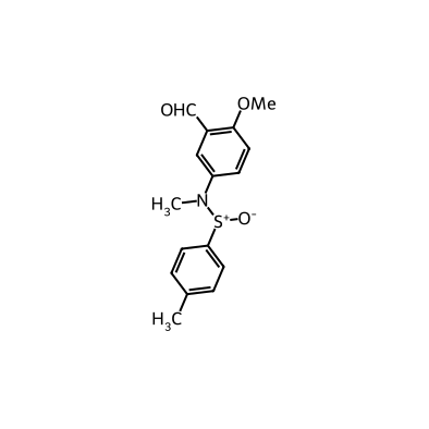 COc1ccc(N(C)[S+]([O-])c2ccc(C)cc2)cc1C=O